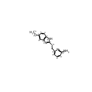 COc1ccc2[nH]c(SCc3cccc(N)n3)nc2c1